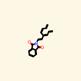 C=C\C=C/C(/C=C/N1C(=O)c2ccccc2C1=O)=C\C=C